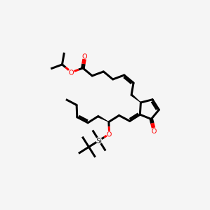 CC/C=C\C[C@@H](C/C=C1/C(=O)C=C[C@@H]1C/C=C\CCCC(=O)OC(C)C)O[Si](C)(C)C(C)(C)C